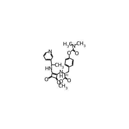 COC(=O)[C@H](Cc1ccc(OC(=O)N(C)C)cc1)Nc1c(NC(C)c2cccnc2)c(=O)c1=O